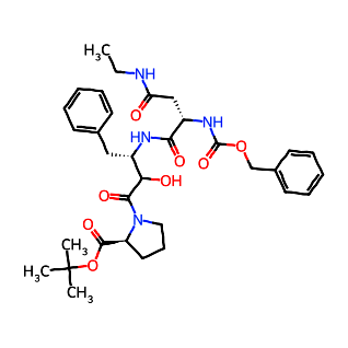 CCNC(=O)C[C@H](NC(=O)OCc1ccccc1)C(=O)N[C@@H](Cc1ccccc1)C(O)C(=O)N1CCC[C@H]1C(=O)OC(C)(C)C